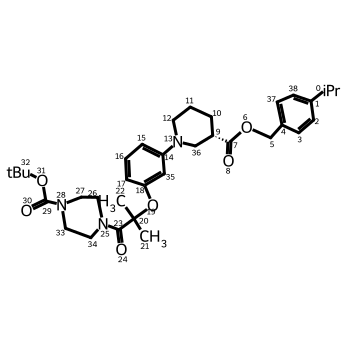 CC(C)c1ccc(COC(=O)[C@H]2CCCN(c3cccc(OC(C)(C)C(=O)N4CCN(C(=O)OC(C)(C)C)CC4)c3)C2)cc1